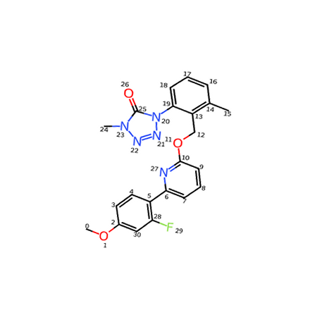 COc1ccc(-c2cccc(OCc3c(C)cccc3-n3nnn(C)c3=O)n2)c(F)c1